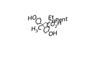 CCCCCC(CC)C(CC(C)(c1ccc(O)cc1)c1ccc(O)cc1)C(=O)O